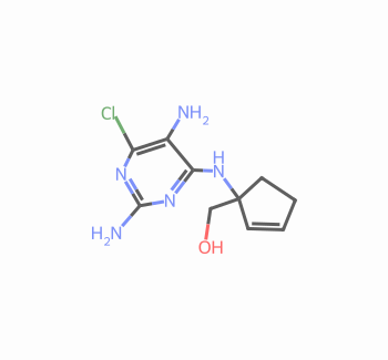 Nc1nc(Cl)c(N)c(NC2(CO)C=CCC2)n1